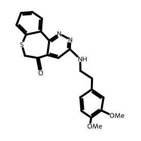 COc1ccc(CCNc2cc3c(nn2)-c2ccccc2SCC3=O)cc1OC